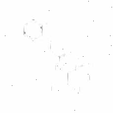 CC(C)C(NC(=O)OCc1ccccc1)P(=O)(O)O